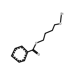 CCOCCCCOC(=O)c1ccccc1